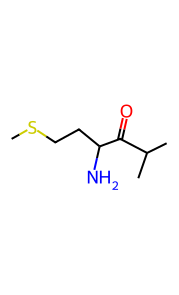 CSCCC(N)C(=O)C(C)C